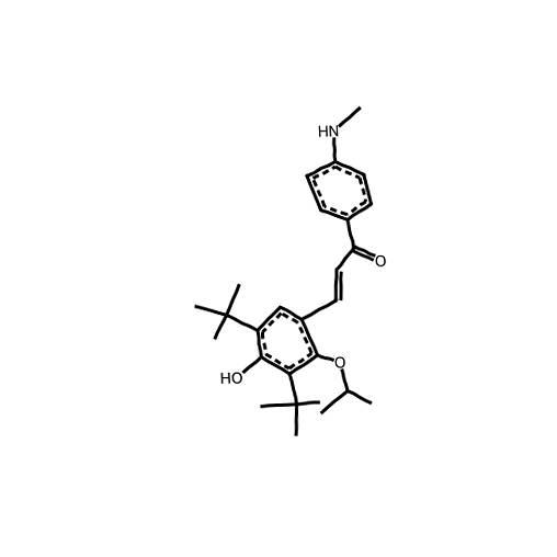 CNc1ccc(C(=O)C=Cc2cc(C(C)(C)C)c(O)c(C(C)(C)C)c2OC(C)C)cc1